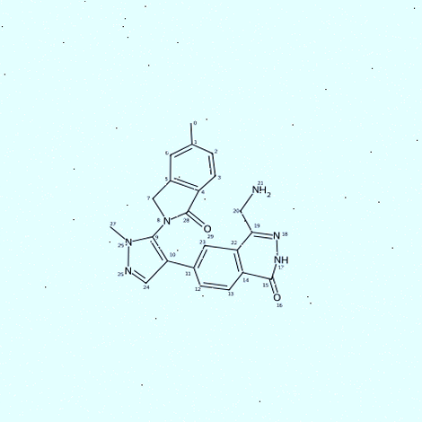 Cc1ccc2c(c1)CN(c1c(-c3ccc4c(=O)[nH]nc(CN)c4c3)cnn1C)C2=O